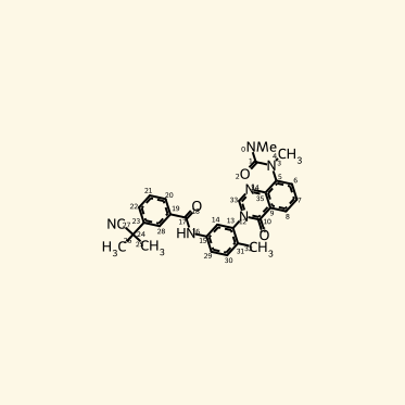 CNC(=O)N(C)c1cccc2c(=O)n(-c3cc(NC(=O)c4cccc(C(C)(C)C#N)c4)ccc3C)cnc12